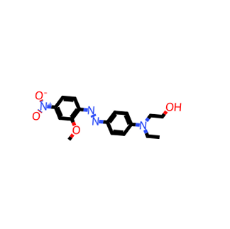 CCN(CCO)c1ccc(N=Nc2ccc([N+](=O)[O-])cc2OC)cc1